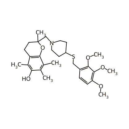 COc1ccc(CSC2CCN(CC3(C)CCc4c(C)c(O)c(C)c(C)c4O3)CC2)c(OC)c1OC